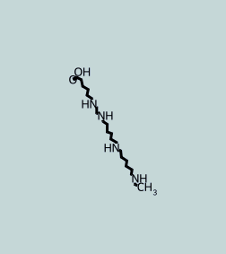 CCNCCCCCCNCCCCCCNCCNCCCCCC(=O)O